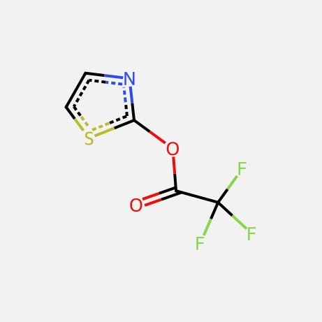 O=C(Oc1nccs1)C(F)(F)F